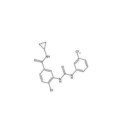 CCc1ccc(C(=O)NC2CC2)cc1NC(=O)Nc1cccc(C(F)(F)F)c1